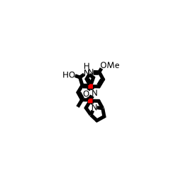 COc1ccc(OC2CC3CCC(C2)N3c2nc3c(cc2C)C(O)NC3)cn1